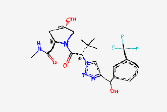 CNC(=O)[C@H]1C[C@H](O)CN1C(=O)[C@@H](n1cc(C(O)c2cccc(C(F)(F)F)c2)nn1)C(C)(C)C